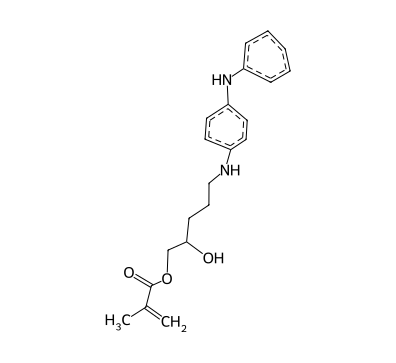 C=C(C)C(=O)OCC(O)CCCNc1ccc(Nc2ccccc2)cc1